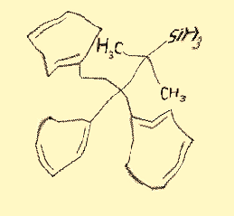 CC(C)([SiH3])C(C1=CC=CC1)(C1=CC=CC1)C1=CC=CC1